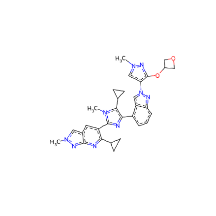 Cn1cc(-n2cc3c(-c4nc(-c5cc6cn(C)nc6nc5C5CC5)n(C)c4C4CC4)cccc3n2)c(OC2COC2)n1